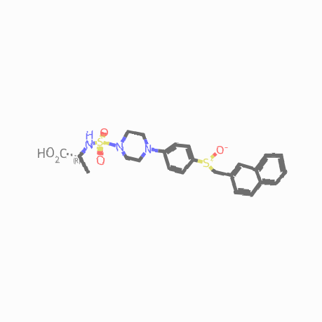 C[C@@H](NS(=O)(=O)N1CCN(c2ccc([S+]([O-])Cc3ccc4ccccc4c3)cc2)CC1)C(=O)O